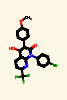 COc1ccc(-c2c(O)c3ccc(C(F)(F)F)nc3n(-c3ccc(Br)cc3)c2=O)cc1